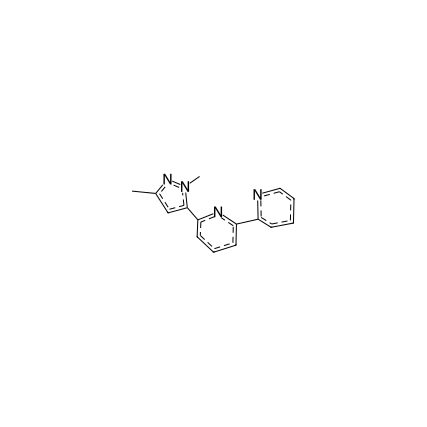 Cc1cc(-c2cccc(-c3ccccn3)n2)n(C)n1